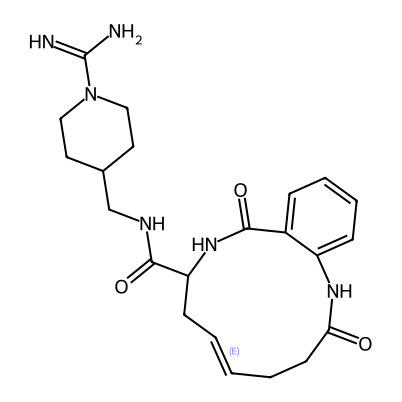 N=C(N)N1CCC(CNC(=O)C2C/C=C/CCC(=O)Nc3ccccc3C(=O)N2)CC1